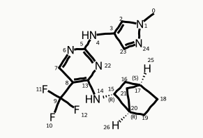 Cn1cc(Nc2ncc(C(F)(F)F)c(N[C@@H]3C[C@H]4CC[C@@H]3C4)n2)cn1